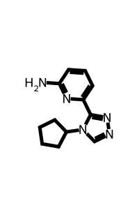 Nc1cccc(-c2nncn2C2CCCC2)n1